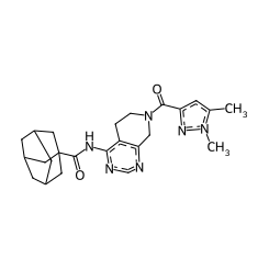 Cc1cc(C(=O)N2CCc3c(ncnc3NC(=O)C34CC5CC(CC(C5)C3)C4)C2)nn1C